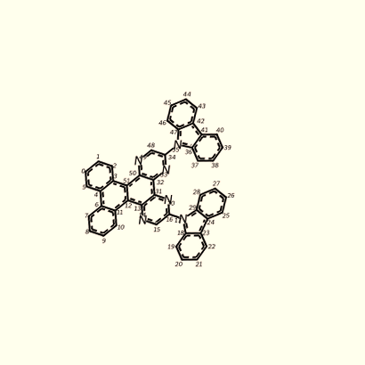 c1ccc2c(c1)c1ccccc1c1c3ncc(-n4c5ccccc5c5ccccc54)nc3c3nc(-n4c5ccccc5c5ccccc54)cnc3c21